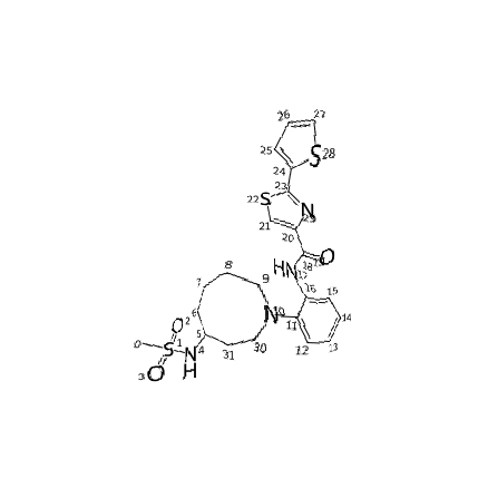 CS(=O)(=O)NC1CCCCN(c2ccccc2NC(=O)c2csc(-c3cccs3)n2)CC1